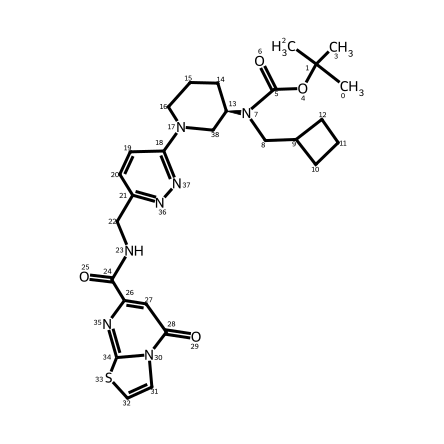 CC(C)(C)OC(=O)N(CC1CCC1)[C@@H]1CCCN(c2ccc(CNC(=O)c3cc(=O)n4ccsc4n3)nn2)C1